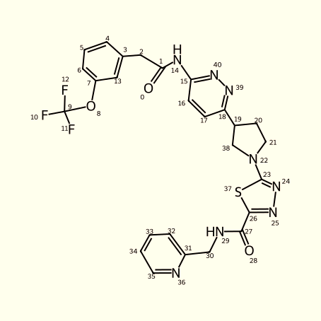 O=C(Cc1cccc(OC(F)(F)F)c1)Nc1ccc(C2CCN(c3nnc(C(=O)NCc4ccccn4)s3)C2)nn1